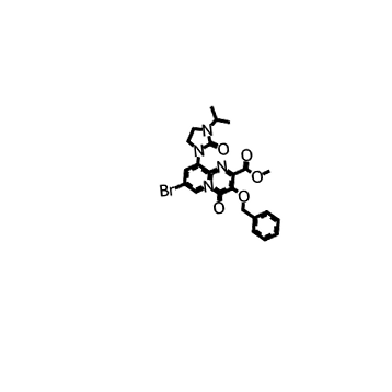 COC(=O)c1nc2c(N3CCN(C(C)C)C3=O)cc(Br)cn2c(=O)c1OCc1ccccc1